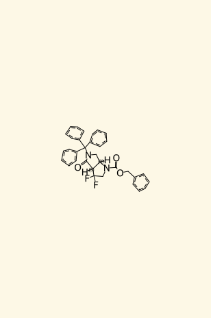 O=C(OCc1ccccc1)N1CC(F)(F)[C@@H]2C(=O)N(C(c3ccccc3)(c3ccccc3)c3ccccc3)C[C@@H]21